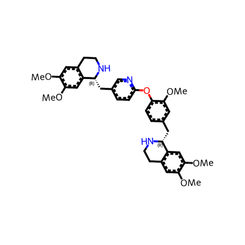 COc1cc2c(cc1OC)[C@@H](Cc1ccc(Oc3ccc(C[C@H]4NCCc5cc(OC)c(OC)cc54)cc3OC)nc1)NCC2